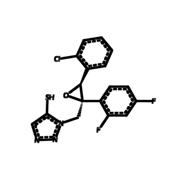 Fc1ccc([C@@]2(Cn3nncc3S)O[C@H]2c2ccccc2Cl)c(F)c1